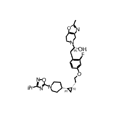 Cc1nc2c(o1)CCN([C@H](O)Cc1ccc(OCC[C@@H]3C[C@@H]3C3CCN(c4nc(C(C)C)no4)CC3)cc1F)C2